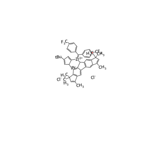 CC1=CC(C)(C)c2cc3c(cc21)-c1cc2c(cc1[CH]3[Zr+2]([C]1=CC(C(C)(C)C)=CC1C(C)C)=[C](c1ccc(C(F)(F)F)cc1)c1ccc(C(F)(F)F)cc1)C(C)(C)C=C2C.[Cl-].[Cl-]